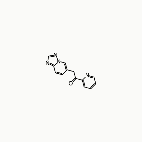 O=C(Cc1ccc2ncnn2c1)c1ccccn1